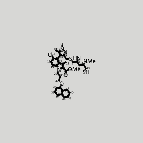 CN/C(=C\C(=N)CSCc1nn(C)c(C)c1-c1c(Cl)ccc2c1c(C)c(C(=O)OC)n2CCCOc1cccc2ccccc12)CS